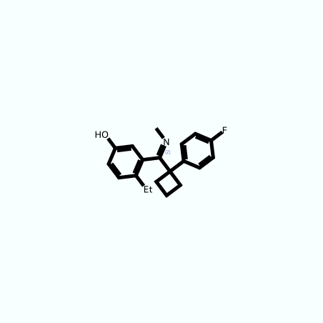 CCc1ccc(O)cc1/C(=N\C)C1(c2ccc(F)cc2)CCC1